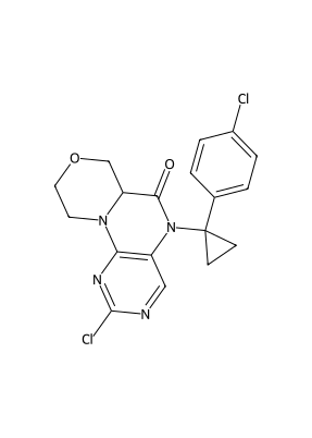 O=C1C2COCCN2c2nc(Cl)ncc2N1C1(c2ccc(Cl)cc2)CC1